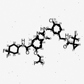 Cn1c(Nc2cc(CNC(=O)C3(C(F)(F)F)CC3)ccc2Cl)nc2cc(C(=O)NC3CCC(F)(F)CC3)c(OCC(F)F)cc21